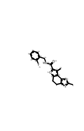 Cc1nc2c(s1)CCc1oc(C(=O)NCc3ccccc3F)c(C)c1-2